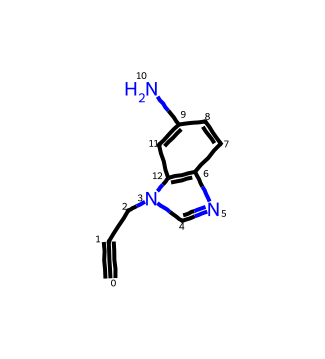 C#CCn1cnc2ccc(N)cc21